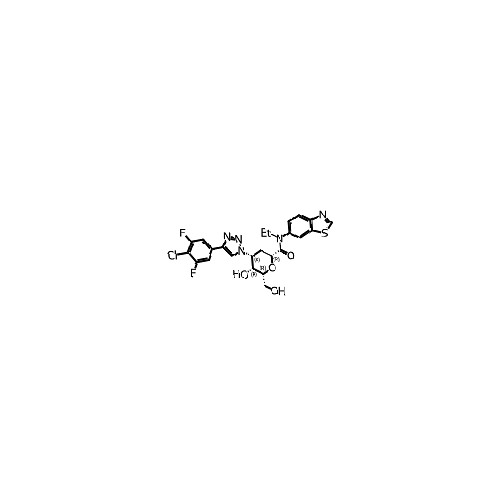 CCN(C(=O)[C@H]1C[C@@H](n2cc(-c3cc(F)c(Cl)c(F)c3)nn2)[C@@H](O)[C@@H](CO)O1)c1ccc2ncsc2c1